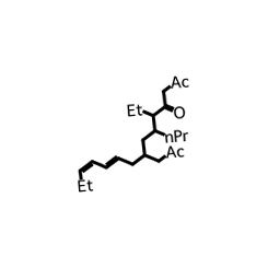 CC/C=C\C=C\CC(CC(C)=O)CC(CCC)C(CC)C(=O)CC(C)=O